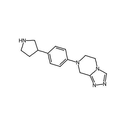 c1cc(N2CCn3cnnc3C2)ccc1C1CCNC1